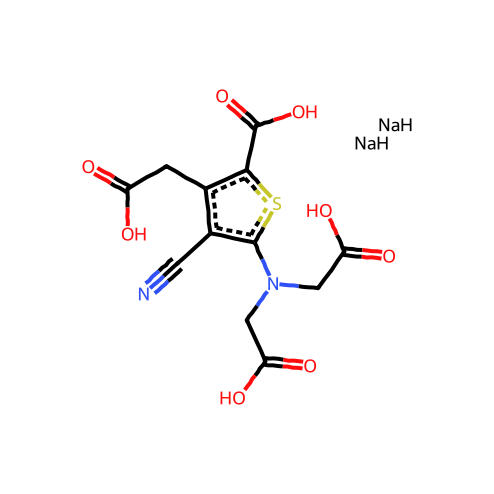 N#Cc1c(N(CC(=O)O)CC(=O)O)sc(C(=O)O)c1CC(=O)O.[NaH].[NaH]